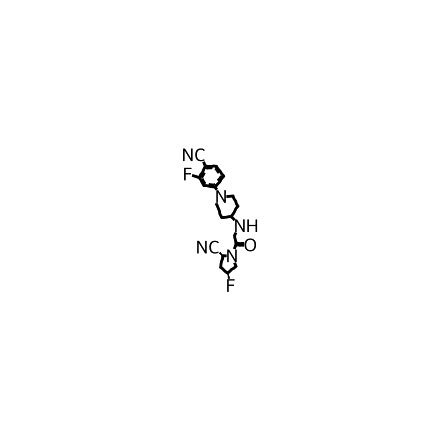 N#Cc1ccc(N2CCC(NCC(=O)N3C[C@@H](F)C[C@H]3C#N)CC2)cc1F